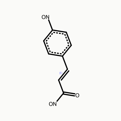 O=NC(=O)/C=C/c1ccc(N=O)cc1